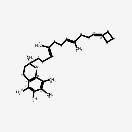 C/C(=C\CC/C(C)=C/CC[C@]1(C)CCc2c(C)c(O)c(C)c(C)c2O1)CCC=C1CCC1